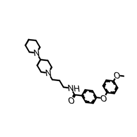 COc1ccc(Oc2ccc(C(=O)NCCCN3CCC(N4CCCCC4)CC3)cc2)cc1